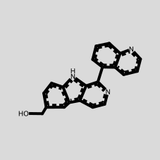 OCc1ccc2[nH]c3c(-c4cccc5ncccc45)nccc3c2c1